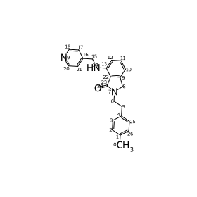 Cc1ccc(CCN2Cc3cccc(NCc4ccncc4)c3C2=O)cc1